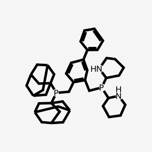 c1ccc(-c2ccc(CP(C34CC5CC(CC(C5)C3)C4)C34CC5CC(CC(C5)C3)C4)c(CP(C3CCCCN3)C3CCCCN3)c2)cc1